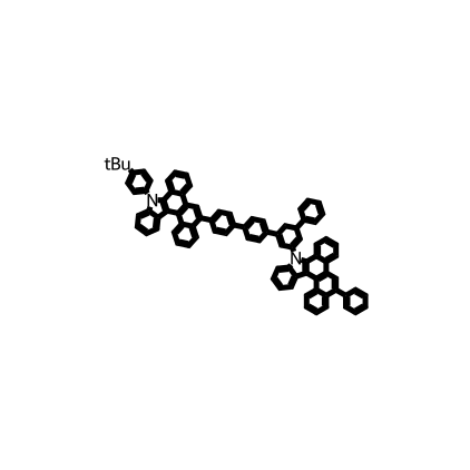 CC(C)(C)c1ccc(-n2c3ccccc3c3c4c5ccccc5c(-c5ccc(-c6ccc(C7=CC(n8c9ccccc9c9c%10c%11ccccc%11c(-c%11ccccc%11)cc%10c%10ccccc%10c98)=CC(c8ccccc8)C7)cc6)cc5)cc4c4ccccc4c32)cc1